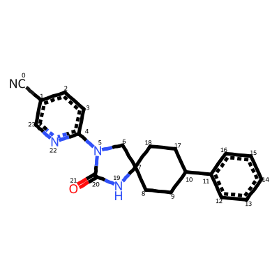 N#Cc1ccc(N2CC3(CCC(c4ccccc4)CC3)NC2=O)nc1